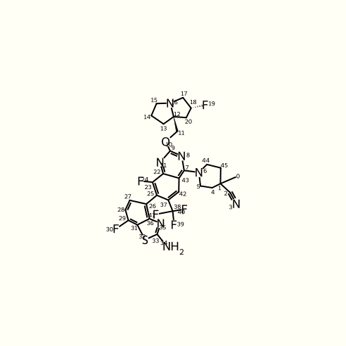 CC1(C#N)CCN(c2nc(OC[C@@]34CCCN3C[C@H](F)C4)nc3c(F)c(-c4ccc(F)c5sc(N)nc45)c(C(F)(F)F)cc23)CC1